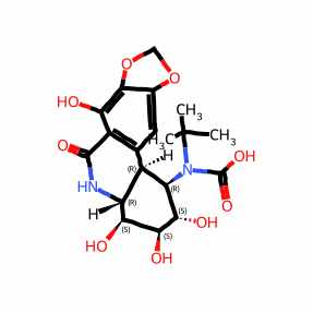 CC(C)(C)N(C(=O)O)[C@H]1[C@H](O)[C@@H](O)[C@@H](O)[C@@H]2NC(=O)c3c(cc4c(c3O)OCO4)[C@H]21